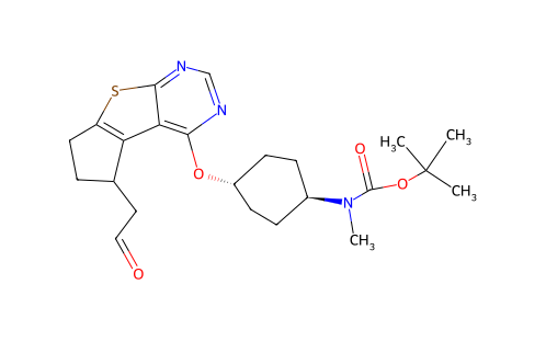 CN(C(=O)OC(C)(C)C)[C@H]1CC[C@H](Oc2ncnc3sc4c(c23)C(CC=O)CC4)CC1